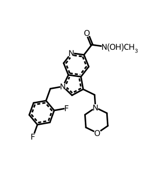 CN(O)C(=O)c1cc2c(CN3CCOCC3)cn(Cc3ccc(F)cc3F)c2cn1